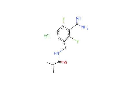 CC(C)C(=O)NCc1ccc(F)c(C(=N)N)c1F.Cl